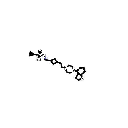 O=S(=O)(/N=C/C1CC(CCN2CCN(c3cccc4sccc34)CC2)C1)C1CC1